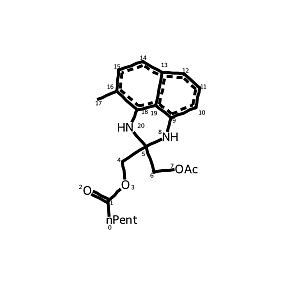 CCCCCC(=O)OCC1(COC(C)=O)Nc2cccc3ccc(C)c(c23)N1